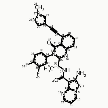 C[C@@H](NC(=O)c1c(N)nn2cccnc12)c1nc2cccc(C#Cc3cnn(C)c3)c2c(=O)n1-c1ccc(F)c(F)c1